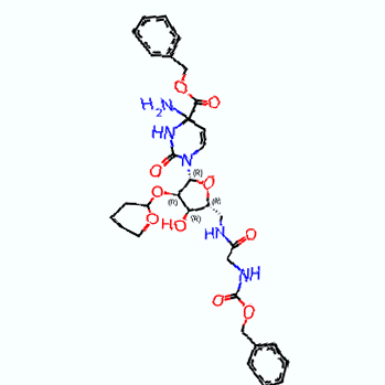 NC1(C(=O)OCc2ccccc2)C=CN([C@@H]2O[C@H](CNC(=O)CNC(=O)OCc3ccccc3)[C@@H](O)[C@H]2OC2CCCCO2)C(=O)N1